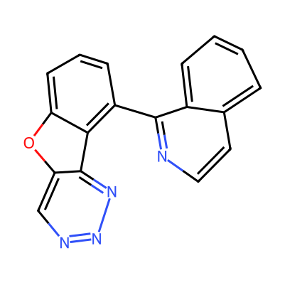 c1ccc2c(-c3cccc4oc5cnnnc5c34)nccc2c1